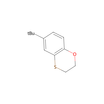 CC(C)(C)c1ccc2c(c1)SCCO2